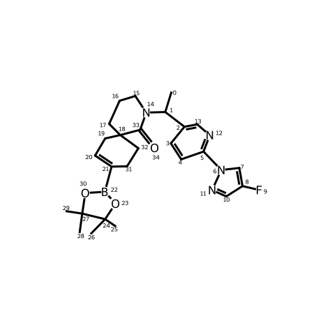 CC(c1ccc(-n2cc(F)cn2)nc1)N1CCCC2(CC=C(B3OC(C)(C)C(C)(C)O3)CC2)C1=O